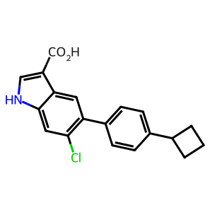 O=C(O)c1c[nH]c2cc(Cl)c(-c3ccc(C4CCC4)cc3)cc12